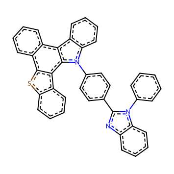 c1ccc(-n2c(-c3ccc(-n4c5ccccc5c5c6ccccc6c6sc7ccccc7c6c54)cc3)nc3ccccc32)cc1